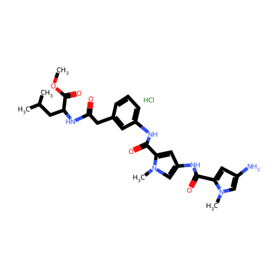 COC(=O)C(CC(C)C)NC(=O)Cc1cccc(NC(=O)c2cc(NC(=O)c3cc(N)cn3C)cn2C)c1.Cl